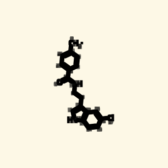 [CH2]c1ccc(C(=O)NCCc2c[nH]c3ccc(Cl)cc23)cc1